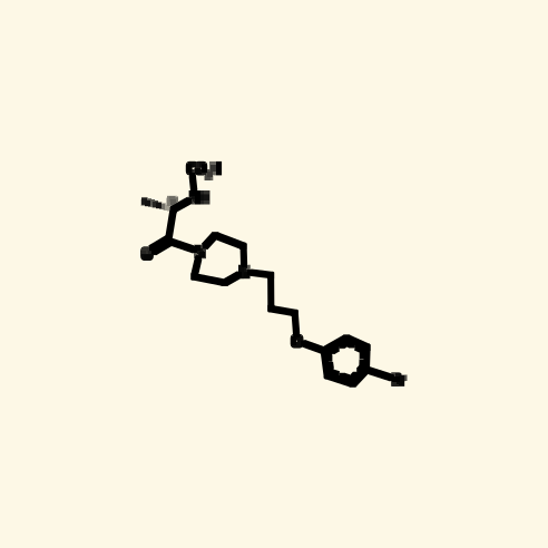 C[C@H](NC(=O)O)C(=O)N1CCN(CCCOc2ccc(Br)cc2)CC1